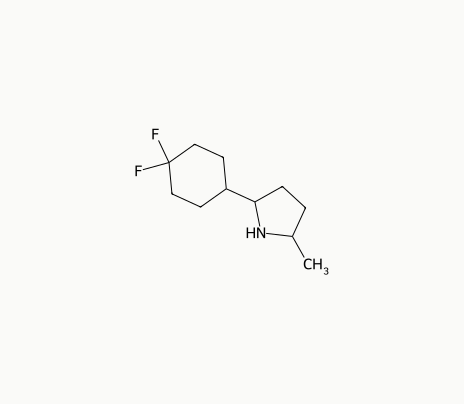 CC1CCC(C2CCC(F)(F)CC2)N1